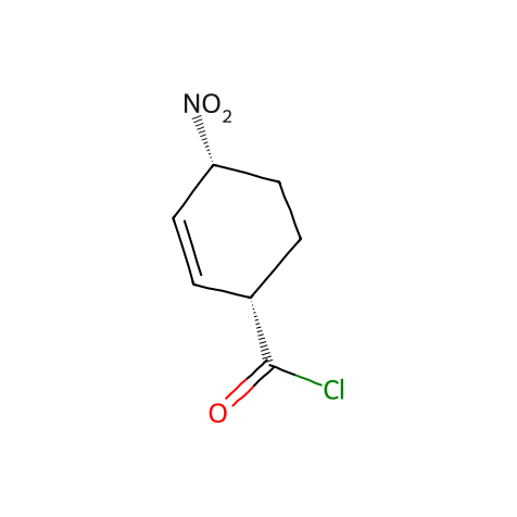 O=C(Cl)[C@@H]1C=C[C@H]([N+](=O)[O-])CC1